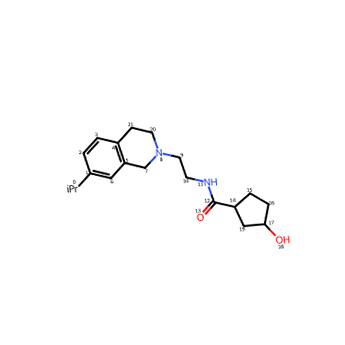 CC(C)c1ccc2c(c1)CN(CCNC(=O)C1CCC(O)C1)CC2